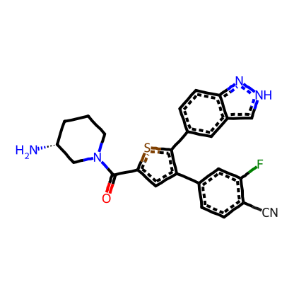 N#Cc1ccc(-c2cc(C(=O)N3CCC[C@@H](N)C3)sc2-c2ccc3n[nH]cc3c2)cc1F